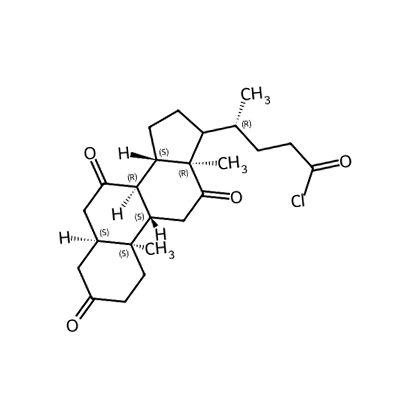 C[C@H](CCC(=O)Cl)C1CC[C@H]2[C@@H]3C(=O)C[C@@H]4CC(=O)CC[C@]4(C)[C@H]3CC(=O)[C@]12C